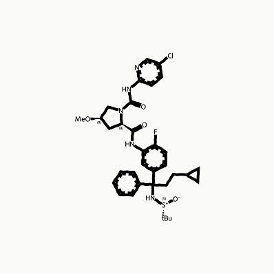 CO[C@@H]1C[C@H](C(=O)Nc2cc(C(CCC3CC3)(N[S@+]([O-])C(C)(C)C)c3ccccc3)ccc2F)N(C(=O)Nc2ccc(Cl)cn2)C1